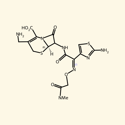 CNC(=O)CO/N=C(\C(=O)NC1C(=O)N2C(C(=O)O)=C(CN)CS[C@H]12)c1csc(N)n1